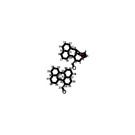 O=Cc1cc2c3cc2c2c(c3)c3cccc4cccc(c12)c43.O=Cc1ccc2cccc3c4cccc5cccc(c1c23)c54